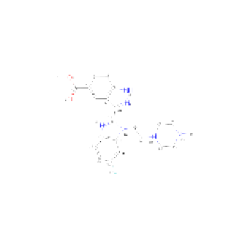 COC(=O)c1ccc2[nH]nc(-c3nc4ccc(F)cc4n3CCN3CCN(C)CC3)c2c1